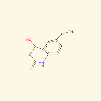 COc1ccc2c(c1)C(O)OC(=O)N2